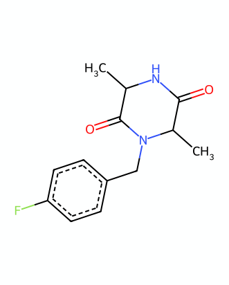 CC1NC(=O)C(C)N(Cc2ccc(F)cc2)C1=O